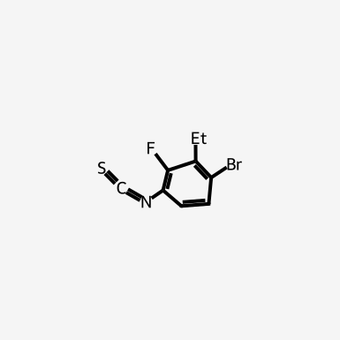 CCc1c(Br)ccc(N=C=S)c1F